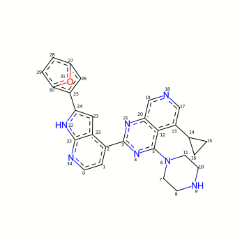 c1cc(-c2nc(N3CCNCC3)c3c(C4CC4)cncc3n2)c2cc(-c3cc4ccc3o4)[nH]c2n1